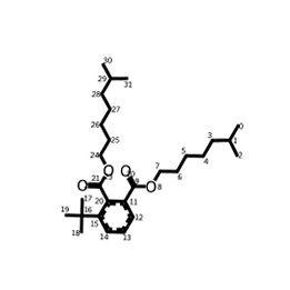 CC(C)CCCCCOC(=O)c1cccc(C(C)(C)C)c1C(=O)OCCCCCC(C)C